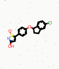 [O-][s+]1nc(O)cc1-c1ccc(OC2CCc3cc(Cl)ccc32)cc1